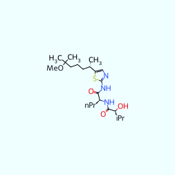 CCC[C@H](NC(=O)[C@@H](O)C(C)C)C(=O)Nc1ncc([C@@H](C)CCCC(C)(C)OC)s1